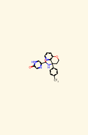 O=C(NC1(c2ccc(C(F)(F)F)cc2)CCOc2cccnc21)c1c[nH]c(=O)cn1